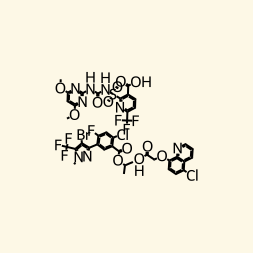 CC(C)OC(=O)c1cc(-c2nn(C)c(C(F)(F)F)c2Br)c(F)cc1Cl.COc1cc(OC)nc(NC(=O)NS(=O)(=O)c2nc(C(F)(F)F)ccc2C(=O)O)n1.O=C(O)COc1ccc(Cl)c2cccnc12